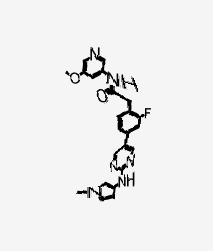 COc1cncc(NC(=O)Cc2ccc(-c3cnc(Nc4ccn(C)c4)nc3)cc2F)c1